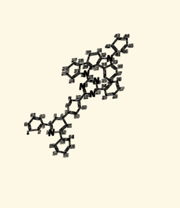 c1ccc(-c2cc(-c3ccc(-c4nc(-c5ccccc5)nc(-n5c6ccccc6c6ccc7c(c8ccccc8n7-c7ccccc7)c65)n4)cc3)cc(-c3ccccc3)n2)cc1